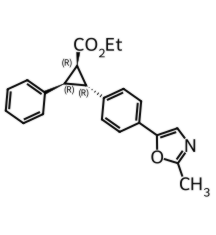 CCOC(=O)[C@@H]1[C@H](c2ccccc2)[C@H]1c1ccc(-c2cnc(C)o2)cc1